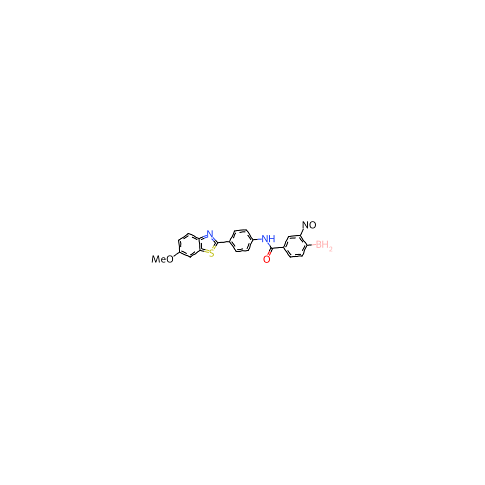 Bc1ccc(C(=O)Nc2ccc(-c3nc4ccc(OC)cc4s3)cc2)cc1N=O